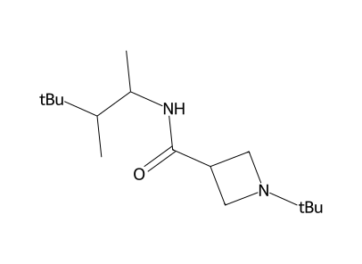 CC(NC(=O)C1CN(C(C)(C)C)C1)C(C)C(C)(C)C